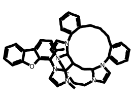 Cc1ccc2c(oc3ccccc32)c1N1C=CN(C)C1C1CC2N3C=CN2c2ccccc2CCCc2ccccc2N2C=CN(CCC3)C12